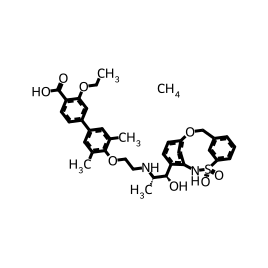 C.CCOc1cc(-c2cc(C)c(OCCN[C@@H](C)[C@H](O)c3ccc4cc3NS(=O)(=O)c3cccc(c3)CO4)c(C)c2)ccc1C(=O)O